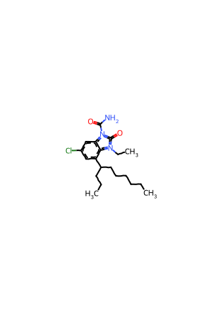 CCCCCCC(CCC)c1cc(Cl)cc2c1n(CC)c(=O)n2C(N)=O